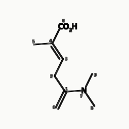 C=C(CC=C(C)C(=O)O)N(C)C